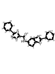 O=C(Nc1ccc2oc(-c3cccnc3)nc2c1)c1nnc(-c2ccccc2)o1